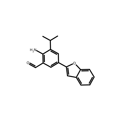 CC(C)c1cc(-c2cc3ccccc3o2)cc(C=O)c1N